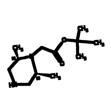 C[C@@H]1CNC[C@H](C)N1CC(=O)OC(C)(C)C